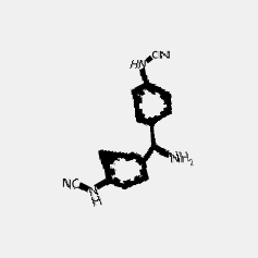 N#CNc1ccc(C(N)c2ccc(NC#N)cc2)cc1